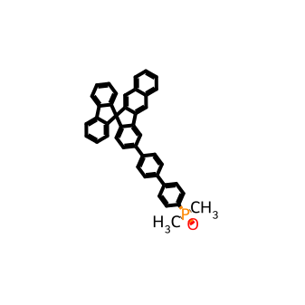 CP(C)(=O)c1ccc(-c2ccc(-c3ccc4c(c3)-c3cc5ccccc5cc3C43c4ccccc4-c4ccccc43)cc2)cc1